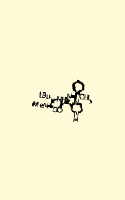 CNC(=O)[C@@H](NC(=O)c1nc(C2(C)C=CC=CC2)n2c1CNCC2)C(C)(C)C